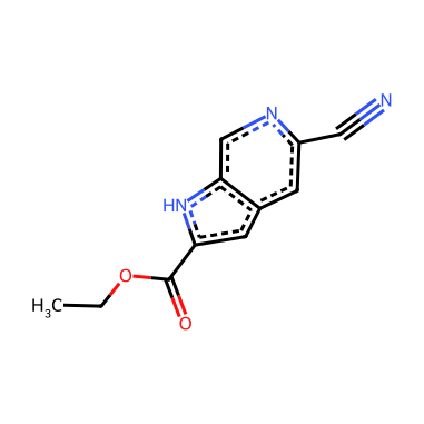 CCOC(=O)c1cc2cc(C#N)ncc2[nH]1